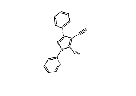 N#Cc1c(-c2ccccc2)nn(-c2ccccn2)c1N